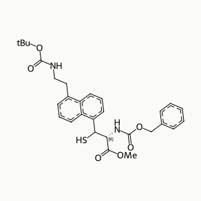 COC(=O)[C@@H](NC(=O)OCc1ccccc1)C(S)c1cccc2c(CCNC(=O)OC(C)(C)C)cccc12